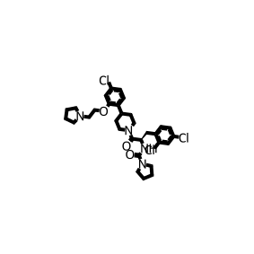 O=C(N[C@H](Cc1ccc(Cl)cc1Cl)C(=O)N1CCC(c2ccc(Cl)cc2OCCN2CCCC2)CC1)N1CCCC1